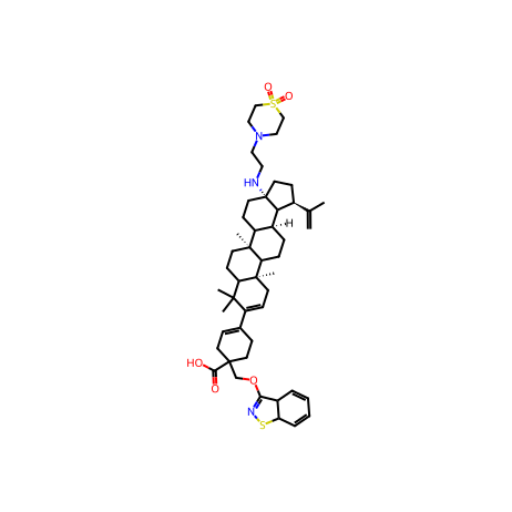 C=C(C)[C@@H]1CC[C@]2(NCCN3CCS(=O)(=O)CC3)CCC3[C@H](CCC4[C@@]3(C)CCC3C(C)(C)C(C5=CCC(COC6=NSC7C=CC=CC67)(C(=O)O)CC5)=CC[C@@]34C)C12